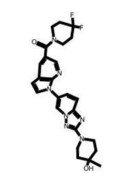 CC1(O)CCN(c2nc3ccc(-n4ccc5cc(C(=O)N6CCC(F)(F)CC6)cnc54)cn3n2)CC1